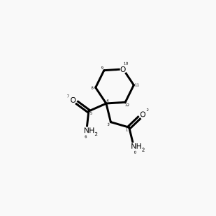 NC(=O)CC1(C(N)=O)CCOCC1